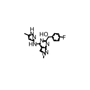 Cc1cc(Nc2nc([C@@H](O)c3ccc(F)cc3)nc3nn(C)cc23)n[nH]1